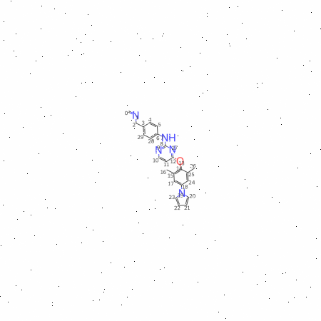 C=NCc1ccc(Nc2nccc(Oc3c(C)cc(-n4cccc4)cc3C)n2)cc1